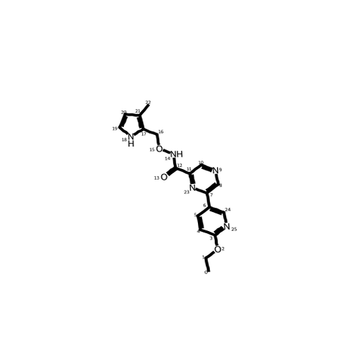 CCOc1ccc(-c2cncc(C(=O)NOCc3[nH]ccc3C)n2)cn1